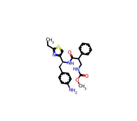 CCc1nc([C@H](Cc2ccc(N)cc2)NC(=O)C(CNC(=O)OC)c2ccccc2)cs1